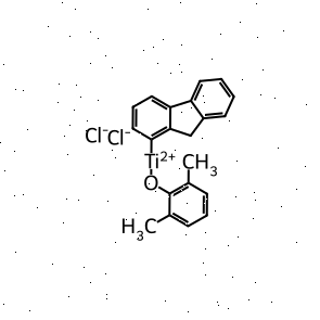 Cc1cccc(C)c1[O][Ti+2][c]1cccc2c1Cc1ccccc1-2.[Cl-].[Cl-]